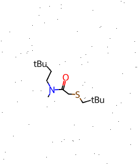 CN(CCC(C)(C)C)C(=O)CSCC(C)(C)C